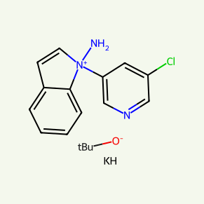 CC(C)(C)[O-].N[N+]1(c2cncc(Cl)c2)C=Cc2ccccc21.[KH]